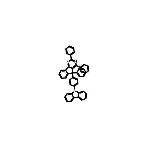 c1ccc(-c2nc(-c3ccccc3)c3c(n2)-c2ccccc2C3(c2ccccc2)c2ccc(-n3c4ccccc4c4ccccc43)cc2)cc1